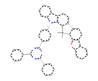 CC1(C)c2c(ccc3c2oc2ccccc23)-c2ccc3c4ccccc4n(-c4ccc(-c5nc(-c6ccccc6)nc(-c6ccccc6)n5)cc4)c3c21